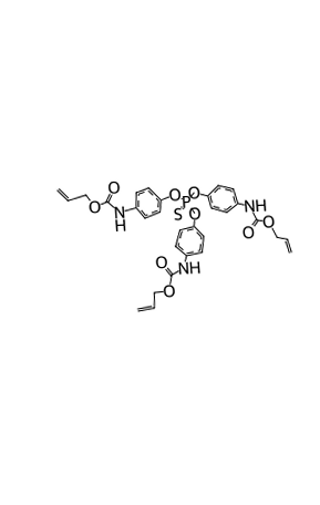 C=CCOC(=O)Nc1ccc(OP(=S)(Oc2ccc(NC(=O)OCC=C)cc2)Oc2ccc(NC(=O)OCC=C)cc2)cc1